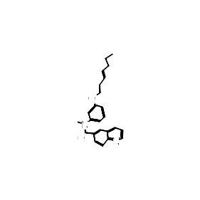 CCCC=CCCOc1cccc(N(C)C(=O)c2ccc3ncccc3c2)c1